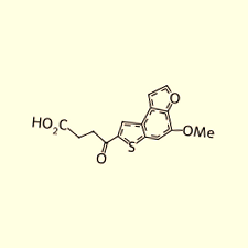 COc1cc2sc(C(=O)CCC(=O)O)cc2c2ccoc12